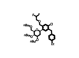 CCCCOC[C@H]1O[C@@H](c2cc(Cc3ccc(CC)cc3)c(Cl)cc2COCC(F)F)C[C@@H](OCCCC)[C@@H]1OCCCC